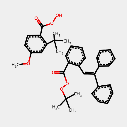 CC(C)(C)OOC(=O)c1ccccc1C=C(c1ccccc1)c1ccccc1.COc1ccc(C(=O)OO)c(C(C)(C)C)c1